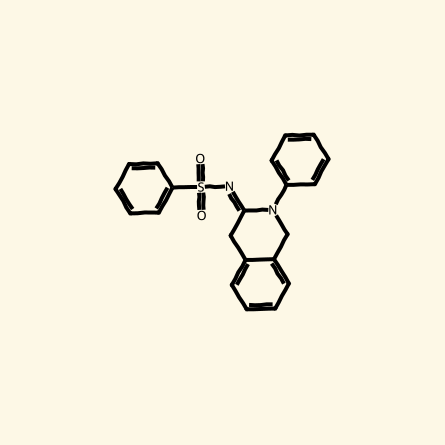 O=S(=O)(N=C1Cc2ccccc2CN1c1ccccc1)c1ccccc1